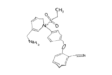 CCS(=O)(=O)[N+]1(c2ccc(Oc3ccccc3C#N)cc2)C=C(CN)C=CC1